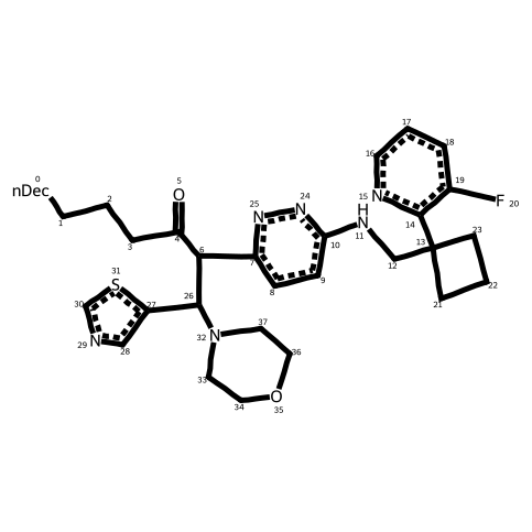 CCCCCCCCCCCCCC(=O)C(c1ccc(NCC2(c3ncccc3F)CCC2)nn1)C(c1cncs1)N1CCOCC1